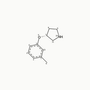 Cc1cccc(O[C@@H]2CCNC2)c1